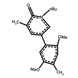 CCCCn1cc(-c2cc(OC)c(C)cc2OC)cc(C)c1=O